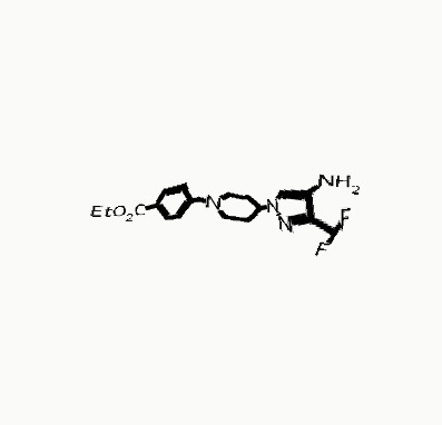 CCOC(=O)c1ccc(N2CCC(n3cc(N)c(C(F)F)n3)CC2)cc1